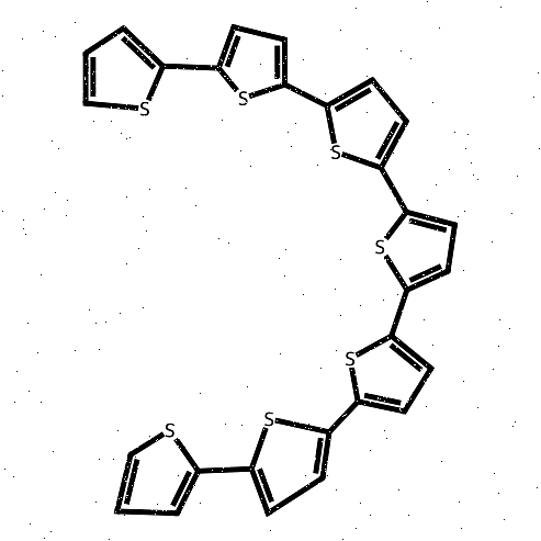 c1csc(-c2ccc(-c3ccc(-c4ccc(-c5ccc(-c6ccc(-c7cccs7)s6)s5)s4)s3)s2)c1